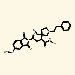 CCCOc1ccc2c(c1)C(=O)N(C(=O)CC(C(=O)NO)C1(CC(C)C)CCN(CCc3ccccc3)C1)C2=O